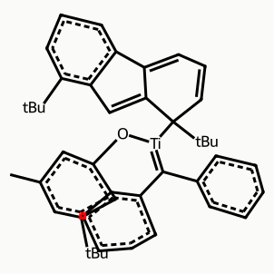 Cc1cc([O][Ti](=[C](c2ccccc2)c2ccccc2)[C]2(C(C)(C)C)C=CC=C3C2=Cc2c3cccc2C(C)(C)C)cc(C(C)(C)C)c1